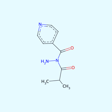 CC(C)C(=O)N(N)C(=O)c1ccncc1